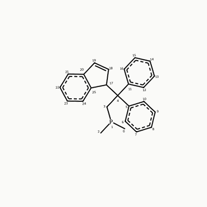 CP(C)CC(c1ccccc1)(c1ccccc1)C1C=Cc2ccccc21